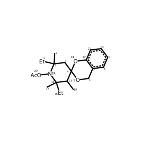 CCC1(C)CC2(OCc3ccccc3O2)C(C)C(C)(CC)N1OC(C)=O